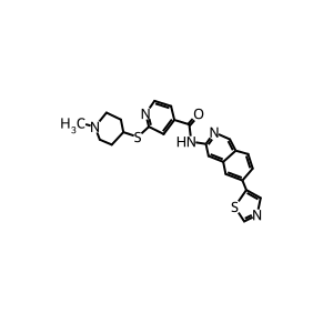 CN1CCC(Sc2cc(C(=O)Nc3cc4cc(-c5cncs5)ccc4cn3)ccn2)CC1